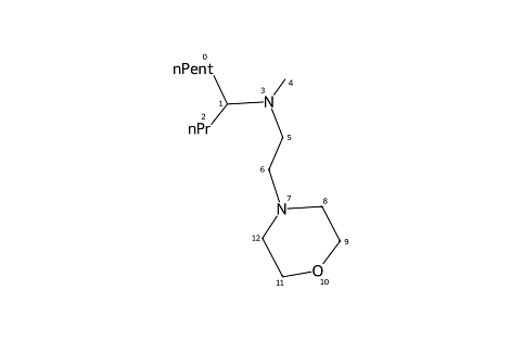 CCCCCC(CCC)N(C)CCN1CCOCC1